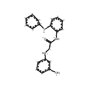 O=C(CNc1cccc(O)c1)Nc1ccccc1Sc1ccccc1